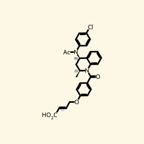 CC(=O)N(c1ccc(Cl)cc1)[C@@H]1C[C@H](C)N(C(=O)c2ccc(OC/C=C/C(=O)O)cc2)c2ccccc21